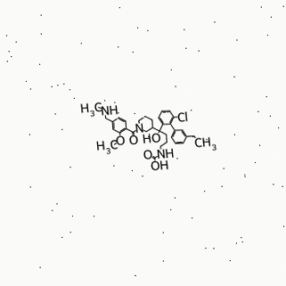 CCc1cccc(-c2c(Cl)cccc2C(O)(CCCNC(=O)O)C2CCCN(C(=O)c3ccc(CNC)cc3OC)C2)c1